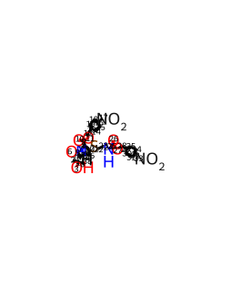 CC(C)(O)[C@@H]1C(=O)N2C(C(=O)OCc3ccc([N+](=O)[O-])cc3)=C(SCCNC(=O)OCc3ccc([N+](=O)[O-])cc3)C[C@@H]12